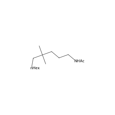 CCCCCCCC(C)(C)CCCNC(C)=O